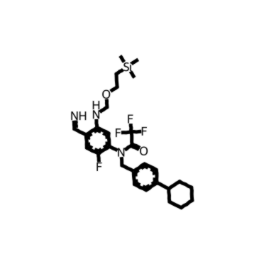 C[Si](C)(C)CCOCNc1cc(N(Cc2ccc(C3CCCCC3)cc2)C(=O)C(F)(F)F)c(F)cc1C=N